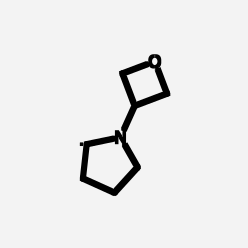 [CH]1CCCN1C1COC1